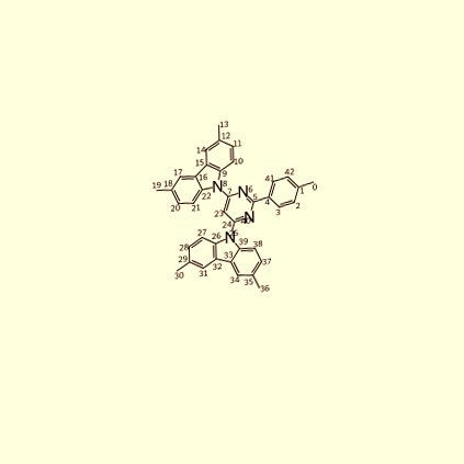 Cc1ccc(-c2nc(-n3c4ccc(C)cc4c4cc(C)ccc43)cc(-n3c4ccc(C)cc4c4cc(C)ccc43)n2)cc1